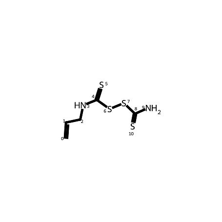 C=CCNC(=S)SSC(N)=S